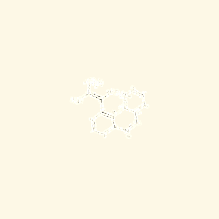 O=C(O)/C(O)=C(\C(=O)O)c1cccc2ncc3ccccc3c12